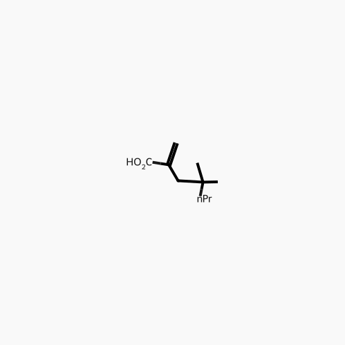 C=C(CC(C)(C)CCC)C(=O)O